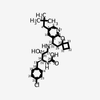 CC(C)(C)Cc1cnc2c(c1)[C@@H](NC[C@@H](O)[C@H](Cc1ccc(Cl)cc1)NC(=O)O)CC1(CCC1)O2